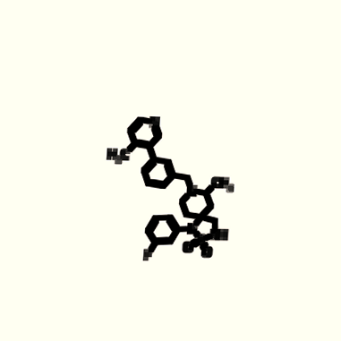 Cc1ccncc1-c1cccc(CN2CCC3(CNS(=O)(=O)N3c3cccc(F)c3)CC2C)c1